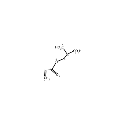 C=CC(=O)OCC(C(=O)O)C(=O)O